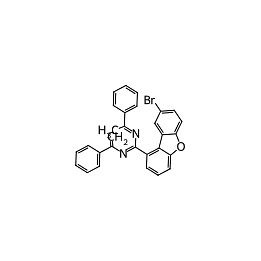 C=C(/N=C(\N=C(/C)c1ccccc1)c1cccc2oc3ccc(Br)cc3c12)c1ccccc1